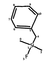 C[Si](C)(F)Cc1ccccc1